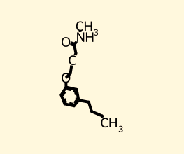 CCCCc1cccc(OCCCC(=O)NC)c1